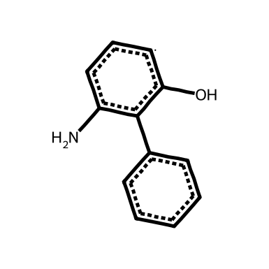 Nc1cc[c]c(O)c1-c1ccccc1